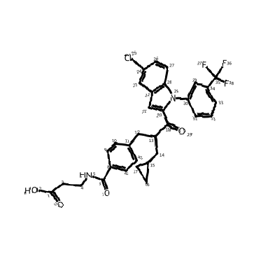 O=C(O)CCNC(=O)c1ccc(CC(CC2CC2)C(=O)c2cc3cc(Cl)ccc3n2-c2cccc(C(F)(F)F)c2)cc1